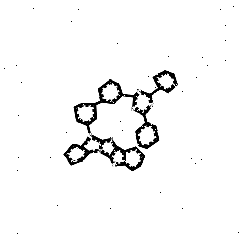 c1ccc(-c2nc(-c3ccccc3)nc(-c3cccc(-c4cccc(-n5c6ccccc6n6c7oc8ccccc8c7nc56)c4)c3)n2)cc1